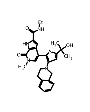 CCNC(=O)c1cc2c(-c3sc(C(C)(C)O)cc3N3CCc4ccccc4C3)cn(C)c(=O)c2[nH]1